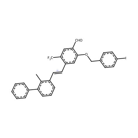 Cc1c(/C=C/c2cc(OCc3ccc(I)cc3)c(C=O)cc2C(F)(F)F)cccc1-c1ccccc1